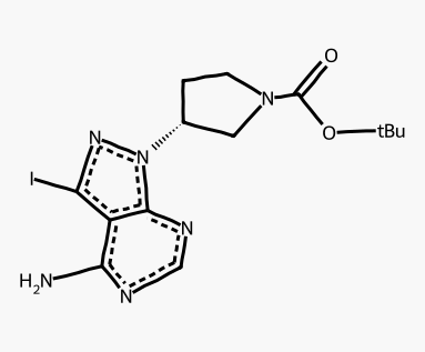 CC(C)(C)OC(=O)N1CC[C@@H](n2nc(I)c3c(N)ncnc32)C1